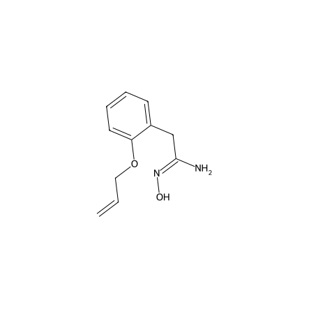 C=CCOc1ccccc1CC(N)=NO